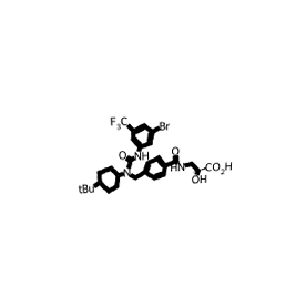 CC(C)(C)C1CCC(N(Cc2ccc(C(=O)NC[C@@H](O)C(=O)O)cc2)C(=O)Nc2cc(Br)cc(C(F)(F)F)c2)CC1